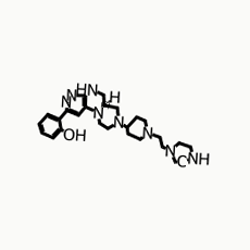 Oc1ccccc1-c1cc2c(nn1)NC[C@H]1CN(C3CCN(CCN4CCNCC4)CC3)CCN21